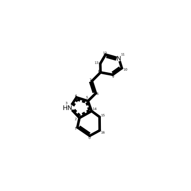 C1=Cc2[nH]cc(C=CC3C=CN=CC3)c2CC1